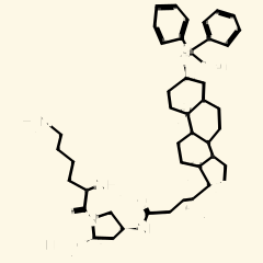 C[C@H](CCC(=O)N[C@H]1C[C@@H](C(=O)O)N(C(=O)C(N)CCCCN)C1)[C@H]1CCC2C3CCC4C[C@H](O[Si](c5ccccc5)(c5ccccc5)C(C)(C)C)CC[C@]4(C)C3CC[C@@]21C